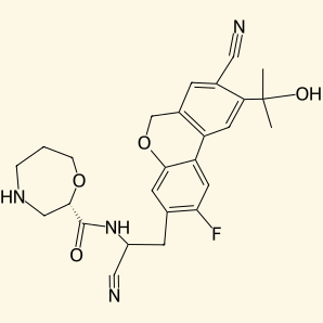 CC(C)(O)c1cc2c(cc1C#N)COc1cc(CC(C#N)NC(=O)[C@@H]3CNCCCO3)c(F)cc1-2